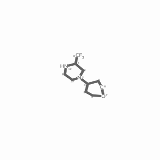 FC(F)(F)C1CN(C2CCOCC2)CCN1